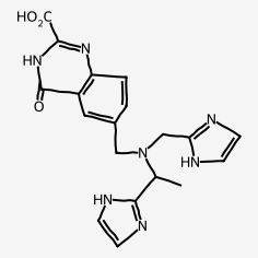 CC(c1ncc[nH]1)N(Cc1ccc2nc(C(=O)O)[nH]c(=O)c2c1)Cc1ncc[nH]1